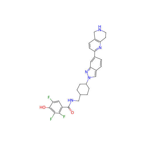 O=C(NCC1CCC(n2cc3ccc(-c4ccc5c(n4)CCNC5)cc3n2)CC1)c1cc(F)c(O)c(F)c1F